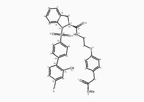 COC(=O)Cc1ccc(OCCNC(=O)[C@@H]2Cc3ccccc3N2S(=O)(=O)c2ccc(-c3ccc(F)cc3C#N)cc2)cc1